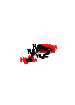 CC/C=C/C1OC(O)([C@@H](O)[C@H](O)[C@H](C)/C(Br)=C/C=C/C=C(C)/C=C/C=C/C(=O)O[C@@H]2C[C@@H](C(=O)O)CC[C@@H]2O)CC(O)C1Br